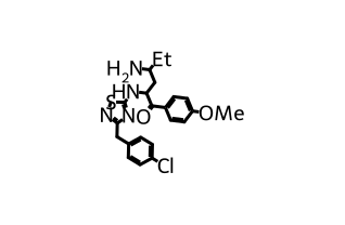 CCC(N)CC(Nc1nc(Cc2ccc(Cl)cc2)ns1)C(=O)c1ccc(OC)cc1